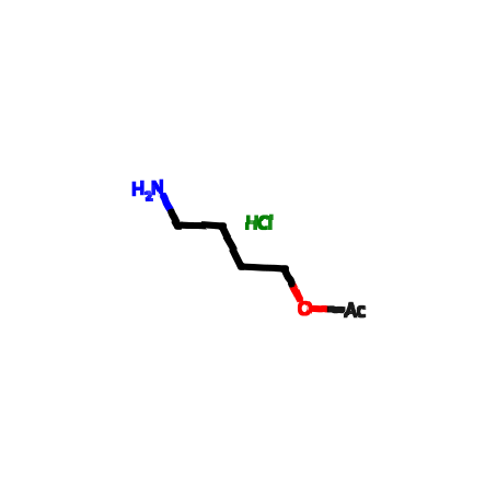 CC(=O)OCCCCN.Cl